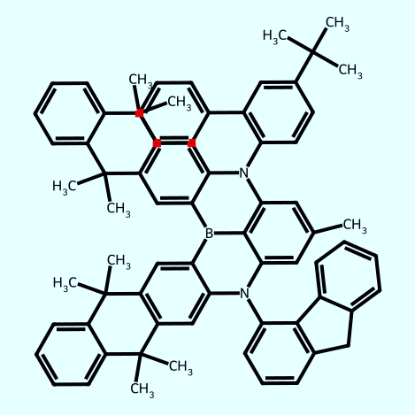 Cc1cc2c3c(c1)N(c1cccc4c1-c1ccccc1C4)c1cc4c(cc1B3c1cc3c(cc1N2c1ccc(C(C)(C)C)cc1-c1ccccc1)C(C)(C)c1ccccc1C3(C)C)C(C)(C)c1ccccc1C4(C)C